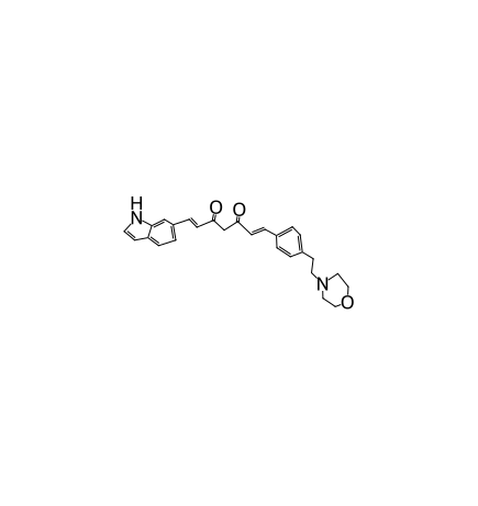 O=C(C=Cc1ccc(CCN2CCOCC2)cc1)CC(=O)C=Cc1ccc2cc[nH]c2c1